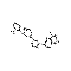 COc1ccccc1CC1CN(c2cnnc(-c3ccc4[nH]nc(C)c4c3)n2)CCN1